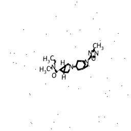 CCN(C)C(=O)[C@@H]1[C@@H]2CN(C3CC4CC(C3)N(c3nc(C)no3)C4)C[C@@H]21